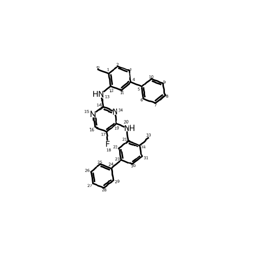 Cc1ccc(-c2ccccc2)cc1Nc1ncc(F)c(Nc2cc(-c3ccccc3)ccc2C)n1